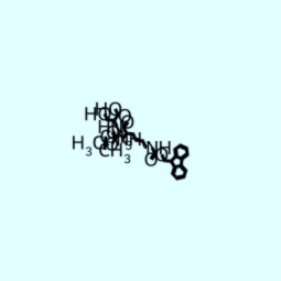 CC(C)(C)OC(=O)NC(CCCCNC(=O)OCC1c2ccccc2-c2ccccc21)C(=O)NC(CO)C(=O)O